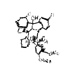 COc1ccc(S(=O)(=O)N2c3ccc(Cl)cc3C(O)(c3ccccc3Cl)C2C(=O)N2CCC[C@H]2C(=O)O)cc1OC